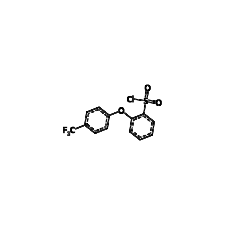 O=S(=O)(Cl)c1ccccc1Oc1ccc(C(F)(F)F)cc1